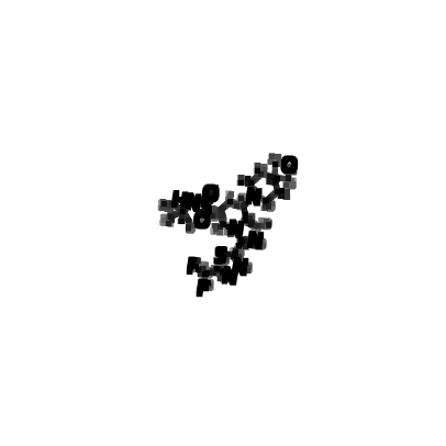 CC1(NS(=O)(=O)c2cc(N3CCC4(CC3)COC4)c3cnc(-c4nnc(C(F)F)s4)n3c2)CC1